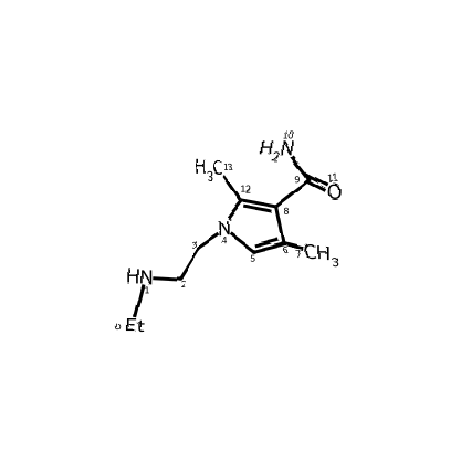 CCNCCn1cc(C)c(C(N)=O)c1C